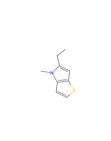 CCc1cc2sccc2n1C